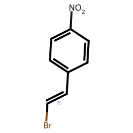 O=[N+]([O-])c1ccc(/C=C/Br)cc1